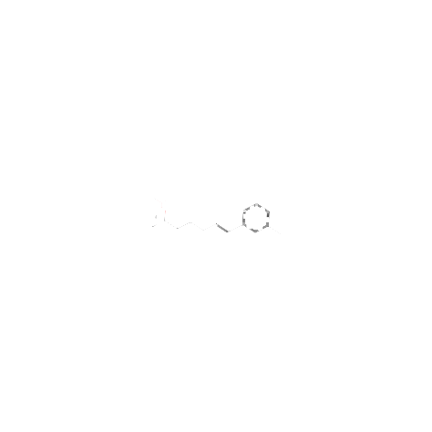 CO[C@H](C)CCC/C=C/c1cccc(C)c1